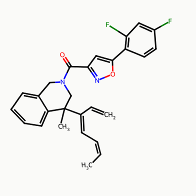 C=C/C(=C\C=C/C)C1(C)CN(C(=O)c2cc(-c3ccc(F)cc3F)on2)Cc2ccccc21